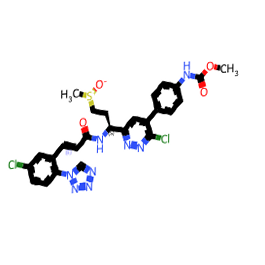 COC(=O)Nc1ccc(-c2cc([C@H](CC[S+](C)[O-])NC(=O)/C=C/c3cc(Cl)ccc3-n3cnnn3)nnc2Cl)cc1